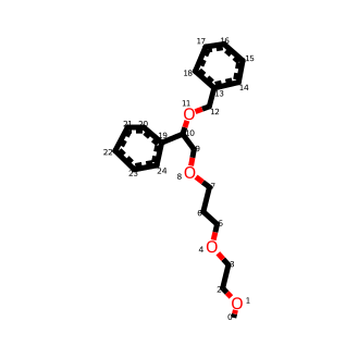 COCCOCCCOCC(OCc1ccccc1)c1ccccc1